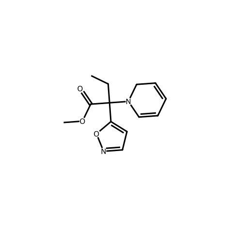 CCC(C(=O)OC)(c1ccno1)N1C=CC=CC1